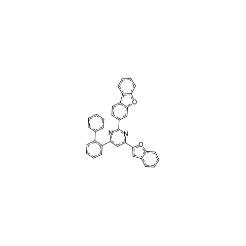 c1ccc(-c2ccccc2-c2cc(-c3cc4ccccc4o3)nc(-c3ccc4c(c3)oc3ccccc34)n2)cc1